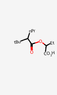 CCCC(C(=O)OC(CC)C(=O)O)C(C)(C)C